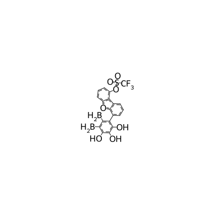 Bc1c(B)c(-c2cccc3c2oc2cccc(OS(=O)(=O)C(F)(F)F)c23)c(O)c(O)c1O